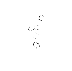 CC12CC=CC=C1C(N1CCC(c3ccc(C#N)cc3)CC1)=NN=C2Cc1ccccc1